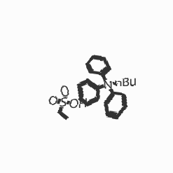 CCCC[N+](c1ccccc1)(c1ccccc1)c1ccccc1.CCS(=O)(=O)O